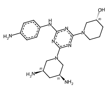 Nc1ccc(Nc2nc(N3C[C@H](N)C[C@H](N)C3)nc(N3CCC[C@@H](O)C3)n2)cc1